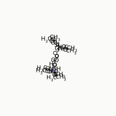 CC(C)(C)OC(=O)Cc1cc(CN(CC(=O)OC(C)(C)C)C(=O)CC2CCCc3cc(OC(=O)c4ccc(N/C(=N\C(=O)OC(C)(C)C)NC(=O)OC(C)(C)C)cc4)ccc32)cs1